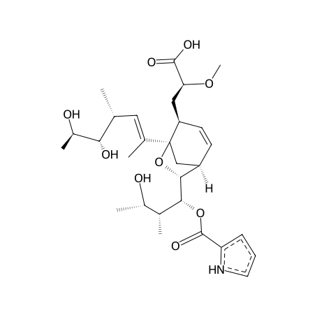 CO[C@@H](C[C@H]1C=C[C@@H]2C[C@@]1(/C(C)=C/[C@@H](C)[C@H](O)[C@@H](C)O)O[C@H]2[C@H](OC(=O)c1ccc[nH]1)[C@H](C)[C@H](C)O)C(=O)O